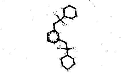 CC(=O)C(Cc1cccc(CC(C(C)=O)(C(C)=O)C2CCCCC2)c1)(C(C)=O)C1CCCCC1